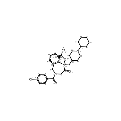 O=C(c1ccc(Cl)cc1)N1CC(=O)[N+](CC2CCN(C3CCCCC3)CC2)(OC(=O)C(F)(F)F)c2ccccc2C1